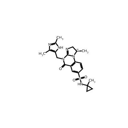 Cc1nc(C)c(CN2C(=O)c3cc(S(=O)(=O)NC4(C)CC4)ccc3N3C2=NC[C@H]3C)[nH]1